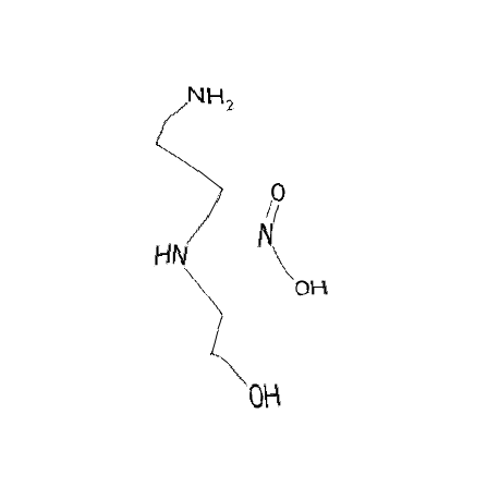 NCCNCCO.O=NO